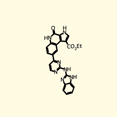 CCOC(=O)c1c[nH]c2c(=O)[nH]c3ccc(-c4ccnc(Nc5nc6ccccc6[nH]5)n4)cc3c12